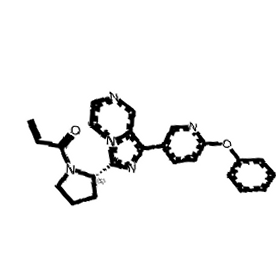 C=CC(=O)N1CCC[C@H]1c1nc(-c2ccc(Oc3ccccc3)nc2)c2cnccn12